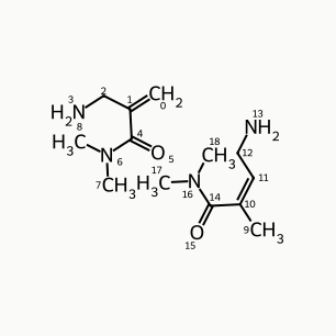 C=C(CN)C(=O)N(C)C.CC(=CCN)C(=O)N(C)C